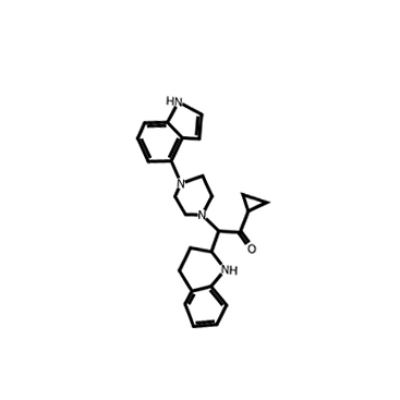 O=C(C1CC1)C(C1CCc2ccccc2N1)N1CCN(c2cccc3[nH]ccc23)CC1